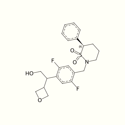 O=S1(=O)[C@@H](c2ccccc2)CCCN1Cc1cc(F)c(C(CO)C2COC2)cc1F